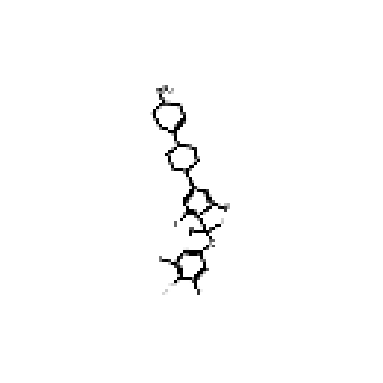 CCCCC1CC=C(C2CCC(c3cc(F)c(C(F)(F)Oc4cc(F)c(C(F)(F)F)c(F)c4)c(F)c3)CC2)CC1